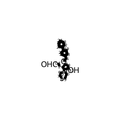 O=CCC[C@H]1[C@H](N2CCSCC2)[C@@H](O)C[C@H]1OCc1ccc(-c2ccccc2)cc1